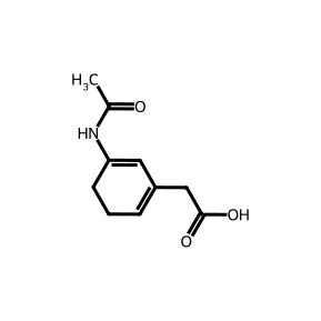 CC(=O)NC1=CC(CC(=O)O)=CCC1